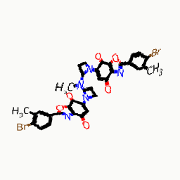 Cc1cc(-c2nc3c(o2)C(=O)C(N2CCC2N(C)C2CCN2C2=CC(=O)c4nc(-c5ccc(Br)c(C)c5)oc4C2=O)=CC3=O)ccc1Br